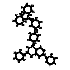 c1ccc(-c2ccc3c(c2)CC(c2ccccc2)CN3c2ccc(-c3cccc(-n4c5ccccc5c5ccccc54)c3)cc2)cc1